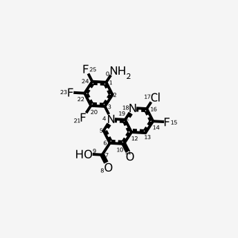 Nc1cc(-n2cc(C(=O)O)c(=O)c3cc(F)c(Cl)nc32)c(F)c(F)c1F